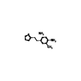 Cc1cc(CCc2cccs2)ccc1N.N